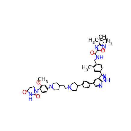 COc1cc(N2CCC(CCN3CCC(c4ccc(-c5cnc6[nH]nc(-c7ccc(CNC(=O)c8nc(C(C)(C)C)no8)c(C)c7)c6c5)cc4)CC3)CC2)ccc1N1CCC(=O)NC1=O